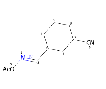 CC(=O)O/N=C/C1CCCC(C#N)C1